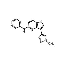 Cn1cc(-c2csc3ccc(Nc4cccnc4)nc23)cn1